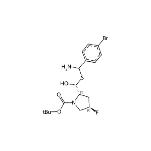 CC(C)(C)OC(=O)N1C[C@H](F)C[C@H]1C(O)SC(N)c1ccc(Br)cc1